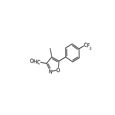 Cc1c(C=O)noc1-c1ccc(C(F)(F)F)cc1